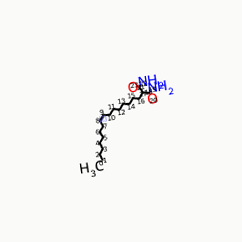 CCCCCCCC/C=C\CCCCCCCC(C(N)=O)C(N)=O